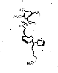 Cc1cc(C)c(C)c(S(=O)(=O)NCCc2ccc(C(=CCCCC(=O)O)c3cccnc3)cc2)c1C